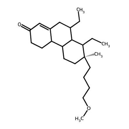 CCC1CC2=CC(=O)CCC2C2CC[C@](C)(CCCCOC)C(CC)C12